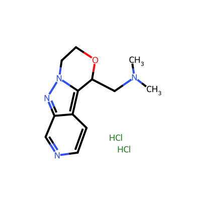 CN(C)CC1OCCn2nc3cnccc3c21.Cl.Cl